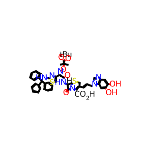 CC(C)(C)OC(=O)C(C)(C)O/N=C(\C(=O)NC1C(=O)N2C(C(=O)O)=C(/C=C/Cn3cnc4cc(O)c(O)cc43)CS[C@@H]12)c1csc(NC(c2ccccc2)(c2ccccc2)c2ccccc2)n1